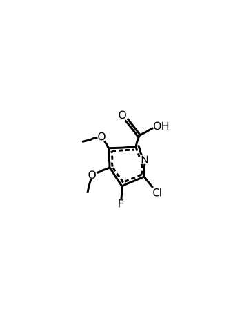 COc1c(C(=O)O)nc(Cl)c(F)c1OC